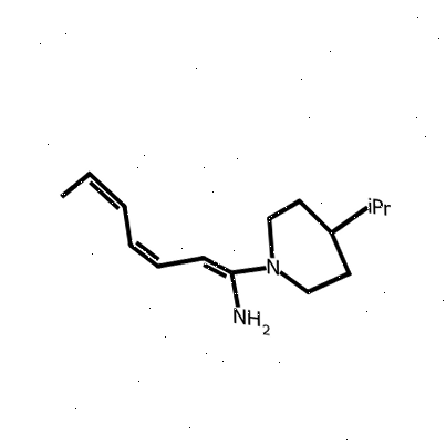 C\C=C/C=C\C=C(/N)N1CCC(C(C)C)CC1